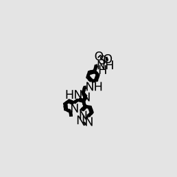 Cc1cccc(-c2[nH]c(CNc3ccc(CN[SH](=O)=O)cc3)nc2-c2ccc3ncnn3c2)n1